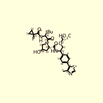 Cc1ncsc1-c1ccc(C(COCC(=O)O)NC(=O)[C@@H]2C[C@@H](O)CN2C(=O)C(NC(=O)C2(F)CC2)C(C)(C)C)cc1